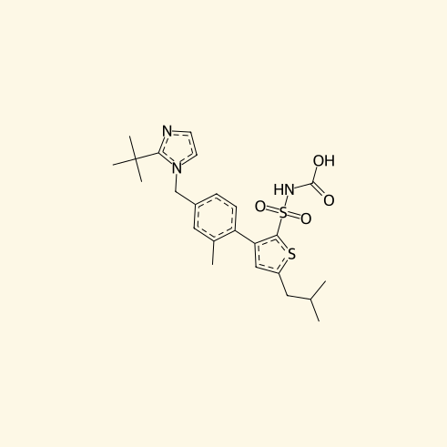 Cc1cc(Cn2ccnc2C(C)(C)C)ccc1-c1cc(CC(C)C)sc1S(=O)(=O)NC(=O)O